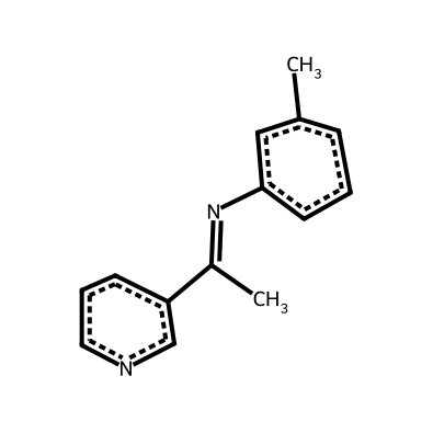 C/C(=N\c1cccc(C)c1)c1cccnc1